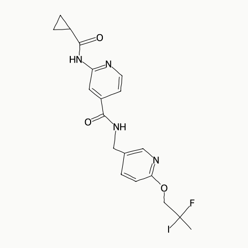 CC(F)(I)COc1ccc(CNC(=O)c2ccnc(NC(=O)C3CC3)c2)cn1